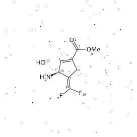 COC(=O)C1=C[C@H](N)C(=C(F)F)C1.Cl